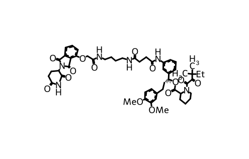 CCC(C)(C)C(=O)C(=O)N1CCCCC1C(=O)O[C@H](CCc1ccc(OC)c(OC)c1)c1cccc(NC(=O)CCC(=O)NCCCCNC(=O)COc2cccc3c2C(=O)N(C2CCC(=O)NC2=O)C3=O)c1